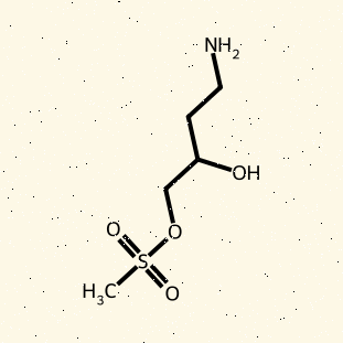 CS(=O)(=O)OCC(O)CCN